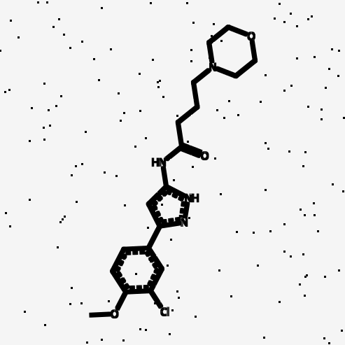 COc1ccc(-c2cc(NC(=O)CCCN3CCOCC3)[nH]n2)cc1Cl